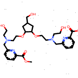 COC(=O)c1cccc(CN(CCO)CCOC2CC(CO)CC2OCCN(CCO)Cc2cccc(C(=O)OC)n2)n1